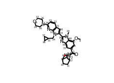 COc1cc(C(=O)N2CC3CCC2[C@@H]3N)cc2nc(-c3cc4ccc(N5CCOCC5)nc4n3CC3CC3)n(C)c12